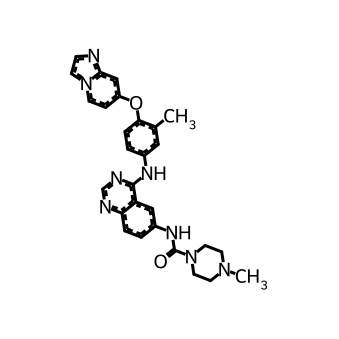 Cc1cc(Nc2ncnc3ccc(NC(=O)N4CCN(C)CC4)cc23)ccc1Oc1ccn2ccnc2c1